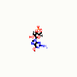 COc1nc(N)nc2c1ncn2[C@@H]1O[C@@H]2CO[PH](=O)O[C@H]2C1(C)O